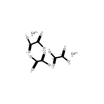 O=C([O-])C(=O)[O-].O=C([O-])C(=O)[O-].O=C([O-])C(=O)[O-].[Gd+3].[Gd+3]